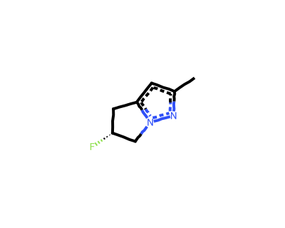 Cc1cc2n(n1)C[C@H](F)C2